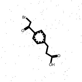 O=C(O)CCc1ccc(C(=O)CBr)cc1